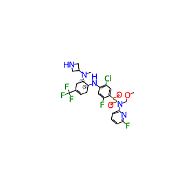 COCN(c1cccc(F)n1)S(=O)(=O)c1cc(Cl)c(N[C@H]2CC=C(C(F)(F)F)C[C@@H]2N(C)C2CNC2)cc1F